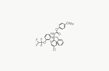 COc1ccc(OC(=O)N[C@@](Cc2ccccc2)(c2cccc(OC(F)(F)C(F)F)c2)c2ccc(Cl)cn2)cc1